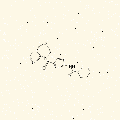 O=C(Nc1ccc(C(=O)N2CCOCc3ccccc32)cc1)C1CCCCC1